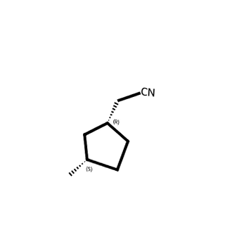 C[C@H]1CC[C@@H](CC#N)C1